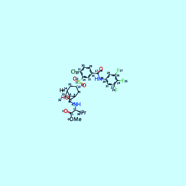 COC(=O)[C@@H](NC[C@@]1(O)C2C[C@@H](S(=O)(=O)c3cc(C(=O)Nc4cc(F)c(F)c(F)c4)ccc3Cl)C[C@@H]1[C@@H](C)C2)C(C)C